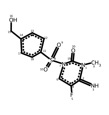 Cn1c(=N)c(F)cn(S(=O)(=O)c2ccc(CO)cc2)c1=O